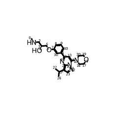 CNC[C@H](O)COc1cccc(-c2cc(N3CCOCC3)n3ncc(C(C)C)c3n2)c1